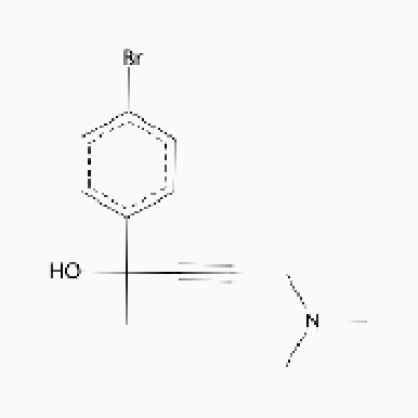 CN(C)CC#CC(C)(O)c1ccc(Br)cc1